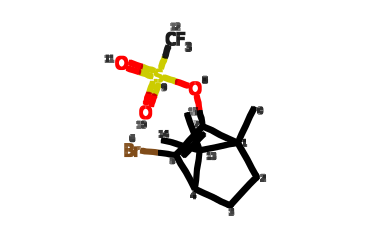 CC12CCC(C(Br)=C1OS(=O)(=O)C(F)(F)F)C2(C)C